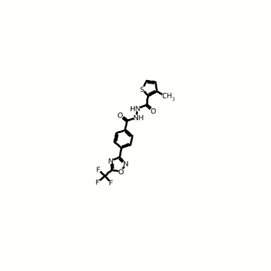 Cc1ccsc1C(=O)NNC(=O)c1ccc(-c2noc(C(F)(F)F)n2)cc1